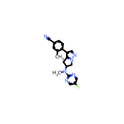 Cc1cc(C#N)ccc1-c1cnn2c1CC(N(C)c1ncc(F)cn1)C2